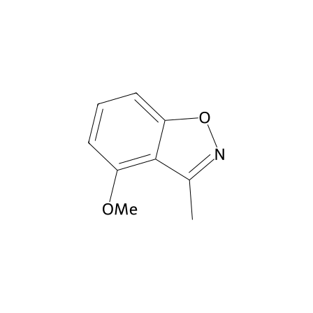 COc1cccc2onc(C)c12